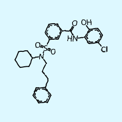 O=C(Nc1cc(Cl)ccc1O)c1cccc(S(=O)(=O)N(CCCc2ccccc2)C2CCCCC2)c1